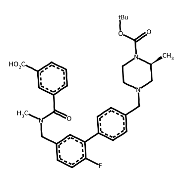 C[C@H]1CN(Cc2ccc(-c3cc(CN(C)C(=O)c4cccc(C(=O)O)c4)ccc3F)cc2)CCN1C(=O)OC(C)(C)C